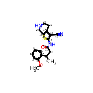 COc1ccccc1C(C)CC(=O)Nc1sc2c(c1C#N)CCNC2